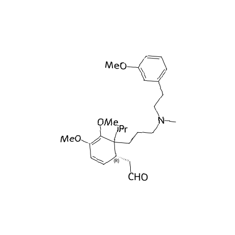 COC1=C(OC)C(CCCN(C)CCc2cccc(OC)c2)(C(C)C)[C@H](CC=O)C=C1